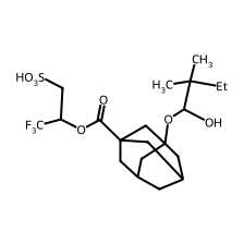 CCC(C)(C)C(O)OC12CC3CC(C1)CC(C(=O)OC(CS(=O)(=O)O)C(F)(F)F)(C3)C2